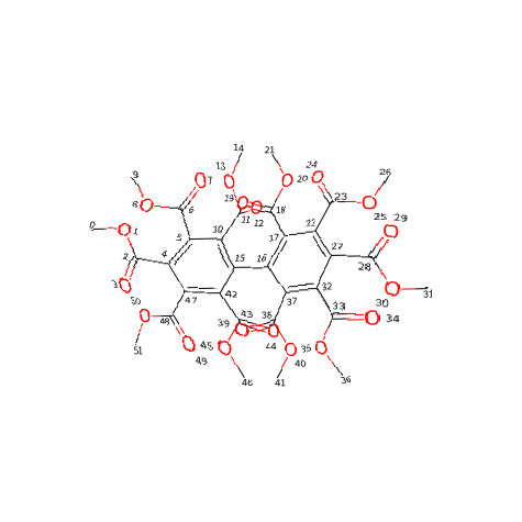 COC(=O)c1c(C(=O)OC)c(C(=O)OC)c(-c2c(C(=O)OC)c(C(=O)OC)c(C(=O)OC)c(C(=O)OC)c2C(=O)OC)c(C(=O)OC)c1C(=O)OC